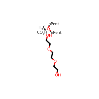 CC(=O)O.CCCCCOCCCCC.OCCOCCOCCO